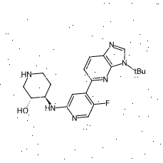 CC(C)(C)n1cnc2ccc(-c3cc(N[C@@H]4CCNC[C@H]4O)ncc3F)nc21